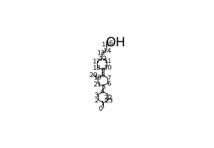 CC1CCC(C2CCC(C3CCC(CCCO)CC3)C(C)C2)CC1